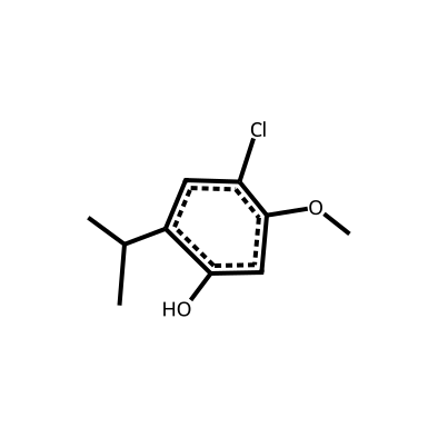 COc1cc(O)c(C(C)C)cc1Cl